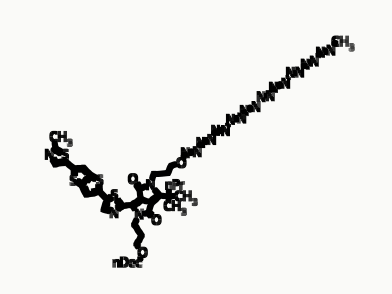 CCCCCCCCCCOCCCN1C(=O)C2=C(C(C)(C)CCC)N(CCCON=NN=NN=NN=NN=NN=NN=NN=NN=NN=NC)C(=O)C2=C1c1ncc(-c2cc3sc(-c4cnc(C)s4)cc3s2)s1